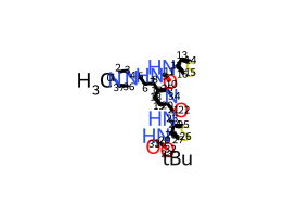 CN1CCN(CCC(NC(=O)Nc2ccsc2)c2ccc(C(=O)Nc3cscc3NC(=O)OC(C)(C)C)nc2)CC1